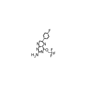 Nc1nc(OCC(F)(F)F)c2nc(-c3ccc(F)cc3)cnc2n1